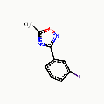 ClC(Cl)(Cl)c1nc(-c2cccc(I)c2)no1